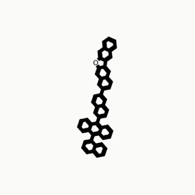 c1ccc2cc3c(cc2c1)oc1cc2cc(-c4ccc5cc(-c6c7ccccc7c(-c7cccc8ccccc78)c7ccccc67)ccc5c4)ccc2cc13